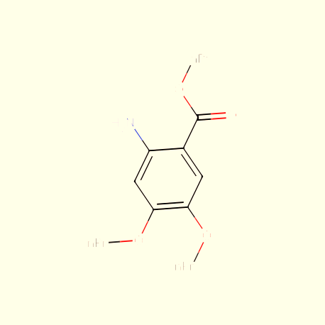 CCCOC(=O)c1cc(OCCC)c(OCCC)cc1N